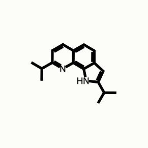 CC(C)c1ccc2ccc3cc(C(C)C)[nH]c3c2n1